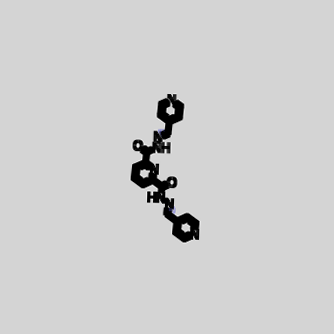 O=C(N/N=C/c1ccncc1)c1cccc(C(=O)N/N=C/c2ccncc2)n1